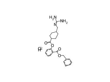 NC(N)=NCC1CCC(C(=O)Oc2ccccc2C(=O)OCc2ccccc2)CC1.[Cl-].[H+]